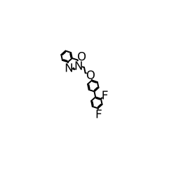 O=c1c2ccccc2ncn1CCOc1ccc(-c2ccc(F)cc2F)cc1